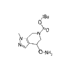 Cn1ncc2c1CN(C(=O)OC(C)(C)C)CC2ON